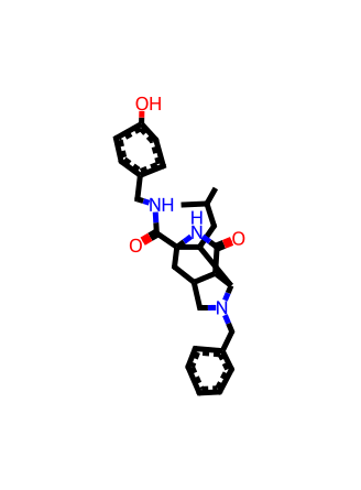 CC(C)CC1C2C3C(=O)NC1(C(=O)NCc1ccc(O)cc1)CC3CN2Cc1ccccc1